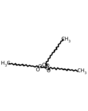 CCCC/C=C/C=C/C=C/CCCCCCCC(=O)OCC(COC(=O)CCCCCCC/C=C/C=C/CCCCCC)OC(=O)CCCCCCC/C=C/C=C/CCCCCC